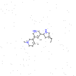 CC[C@@H]1CNC(C2CNCC(C3CN(C)CC[C@H]3C)[C@H]2C)C1